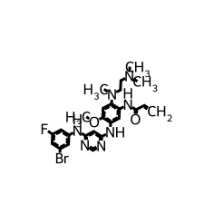 C=CC(=O)Nc1cc(Nc2cc(Nc3cc(F)cc(Br)c3)ncn2)c(OC)cc1N(C)CCN(C)C